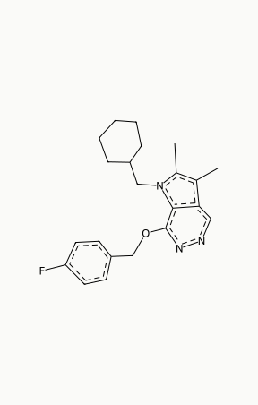 Cc1c(C)n(CC2CCCCC2)c2c(OCc3ccc(F)cc3)nncc12